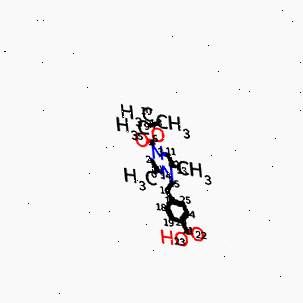 C[C@@H]1CN(C(=O)OC(C)(C)C)C[C@H](C)N1CCc1ccc(C(=O)O)cc1